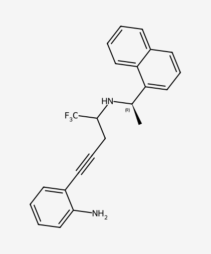 C[C@@H](NC(CC#Cc1ccccc1N)C(F)(F)F)c1cccc2ccccc12